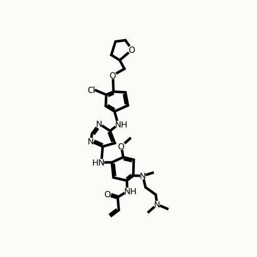 C=CC(=O)Nc1cc(Nc2cc(Nc3ccc(OCC4CCCO4)c(Cl)c3)ncn2)c(OC)cc1N(C)CCN(C)C